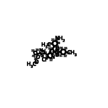 COCOC1(c2ncc(-c3c(Cl)cnc4c3cc(-c3ccc(N)cc3C)n4S(=O)(=O)c3ccc(C)cc3)s2)CCC1